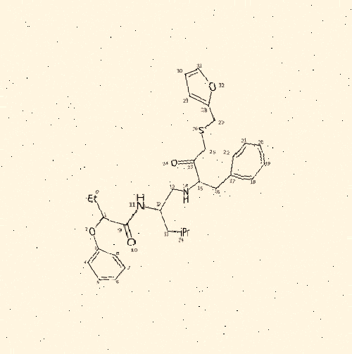 CCC(Oc1ccccc1)C(=O)NC(CNC(Cc1ccccc1)C(=O)CSCc1ccco1)CC(C)C